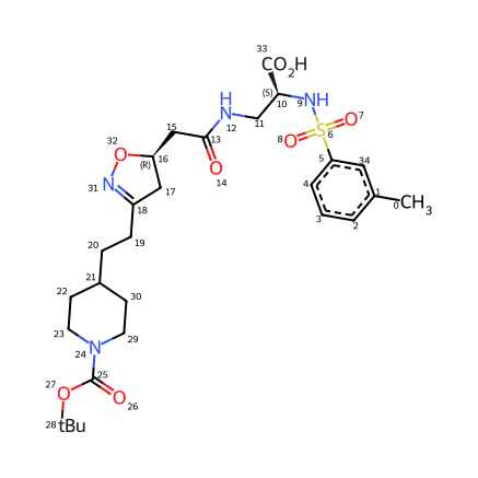 Cc1cccc(S(=O)(=O)N[C@@H](CNC(=O)C[C@H]2CC(CCC3CCN(C(=O)OC(C)(C)C)CC3)=NO2)C(=O)O)c1